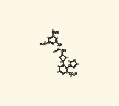 COc1cc(NC(=O)NC2CN(c3cccc(C(=O)O)c3-n3cccc3)C2)cc(OC)c1